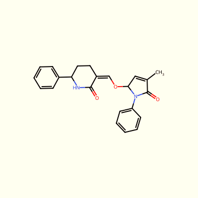 CC1=CC(OC=C2CCC(c3ccccc3)NC2=O)N(c2ccccc2)C1=O